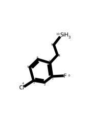 Fc1cc(Cl)ccc1CC[SiH3]